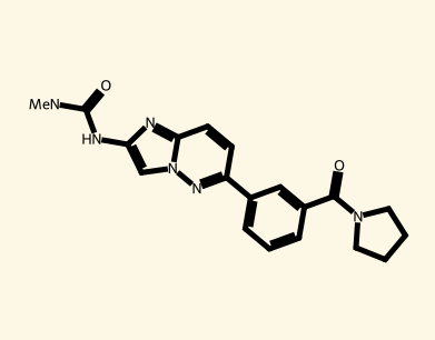 CNC(=O)Nc1cn2nc(-c3cccc(C(=O)N4CCCC4)c3)ccc2n1